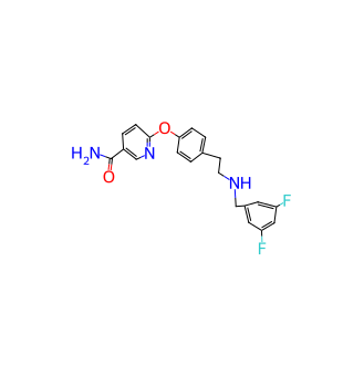 NC(=O)c1ccc(Oc2ccc(CCNCc3cc(F)cc(F)c3)cc2)nc1